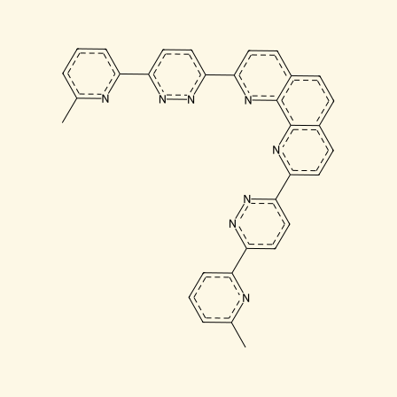 Cc1cccc(-c2ccc(-c3ccc4ccc5ccc(-c6ccc(-c7cccc(C)n7)nn6)nc5c4n3)nn2)n1